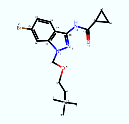 C[Si](C)(C)CCOCn1nc(NC(=O)C2CC2)c2ccc(Br)cc21